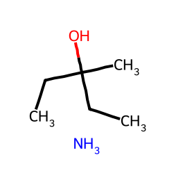 CCC(C)(O)CC.N